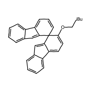 CCC(C)COC1=CC=C2C(=Cc3ccccc32)C12C=CC=C1C2=Cc2ccccc21